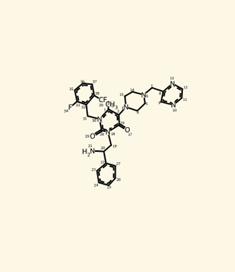 Cc1c(N2CCN(Cc3cnccn3)CC2)c(=O)n(CC(N)c2ccccc2)c(=O)n1Cc1c(F)cccc1C(F)(F)F